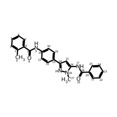 Cc1ccccc1C(=O)Nc1ccc(-c2cc(NC(=O)c3ccccc3)n(C)n2)cc1